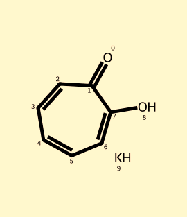 O=c1cccccc1O.[KH]